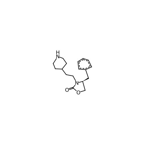 O=C1OC[C@H](Cc2ccccc2)N1CCC1CCNCC1